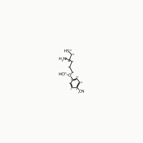 Cl.N#Cc1ccc(OCCC[C@@H](N)CS)cc1